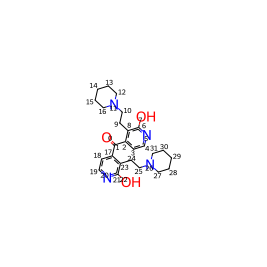 O=C(c1ccnc(O)c1CCN1CCCCC1)c1ccnc(O)c1CCN1CCCCC1